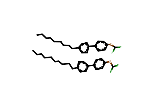 CCCCCCCCCCc1ccc(-c2ccc(SC(F)F)cc2)cc1.CCCCCCCCCc1ccc(-c2ccc(SC(F)F)cc2)cc1